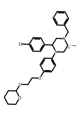 C[C@@H]1CN(c2ccc(OCCOC3CCCCO3)cc2)C(c2ccc(Cl)cc2)CN1Cc1ccccc1